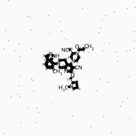 C=CC(=O)N1CCN(c2c(C#N)c(OC[C@@H]3CCCN3C)nc3c2CCN(c2c(C)ccc4cn[nH]c24)C3)C[C@@H]1CC#N